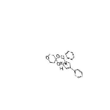 C1=C(c2ccccc2)C[C@]2(c3ccccc3)OOC3(CCOCC3)O[C@H]12